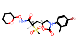 Cc1cc(Br)ccc1N1C[C@H](C[C@](C)(C(=O)NOC2CCCCO2)S(C)(=O)=O)OC1=O